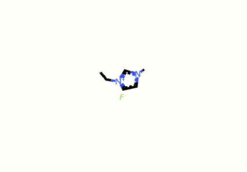 CC[n+]1ccn(C)c1.[F-]